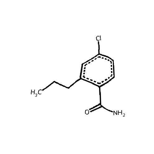 CCCc1cc(Cl)ccc1C(N)=O